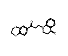 O=C(CCN1CCC(=O)c2ccccc21)c1ccc2c(c1)OCCO2